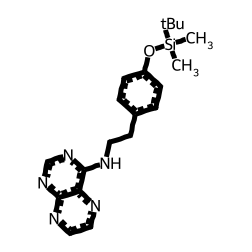 CC(C)(C)[Si](C)(C)Oc1ccc(CCNc2ncnc3nccnc23)cc1